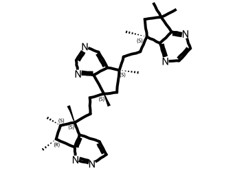 C[C@H]1c2nnccc2[C@@](C)(CC[C@@]2(C)C[C@](C)(CC[C@@]3(C)CC(C)(C)c4nccnc43)c3cncnc32)[C@H]1C